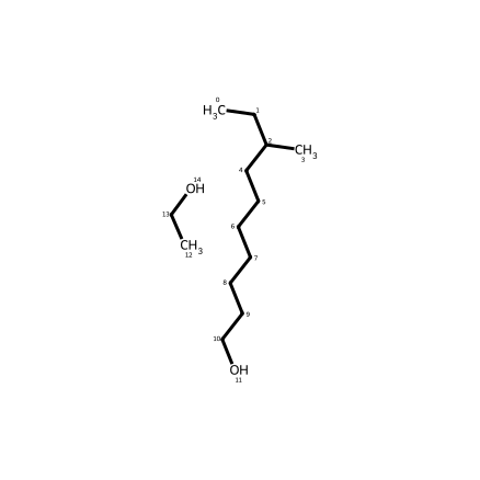 CCC(C)CCCCCCCO.CCO